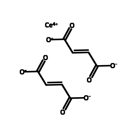 O=C([O-])C=CC(=O)[O-].O=C([O-])C=CC(=O)[O-].[Ce+4]